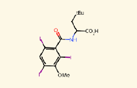 COc1c(I)cc(I)c(C(=O)NC(CC(C)(C)C)C(=O)O)c1I